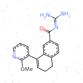 COc1ncccc1C1=CCCc2ccc(C(=O)N=C(N)N)cc21